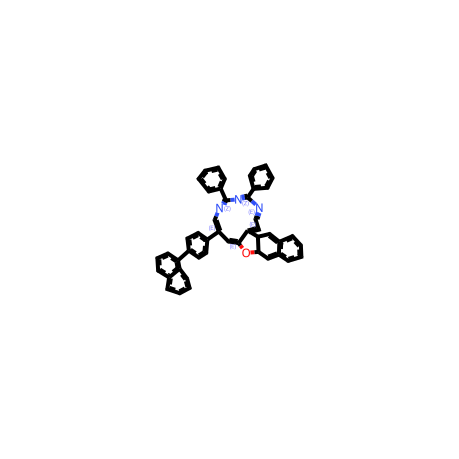 C1=c2ccccc2=CC2C3=C\C=N\C(c4ccccc4)=N/C(c4ccccc4)=N\C=C(c4ccc(-c5cccc6ccccc56)cc4)/C=C\3OC12